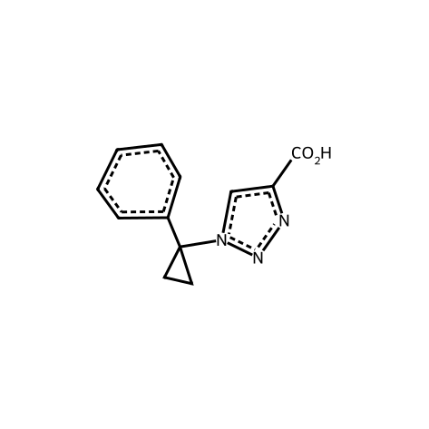 O=C(O)c1cn(C2(c3ccccc3)CC2)nn1